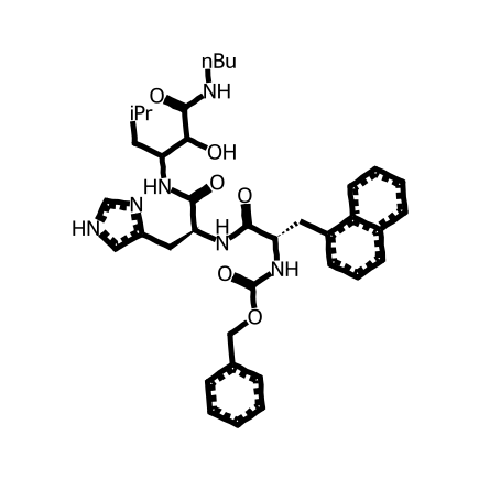 CCCCNC(=O)C(O)C(CC(C)C)NC(=O)[C@H](Cc1c[nH]cn1)NC(=O)[C@H](Cc1cccc2ccccc12)NC(=O)OCc1ccccc1